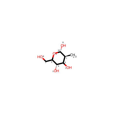 C[C@H]1C(O)[C@H](O)C(CO)O[C@@H]1O